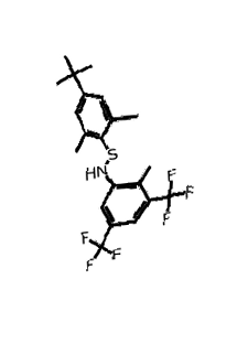 Cc1cc(C(C)(C)C)cc(C)c1SNc1cc(C(F)(F)F)cc(C(F)(F)F)c1C